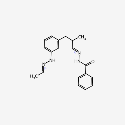 C/C=N/Nc1cccc(CC(C)/C=N/NC(=O)c2ccccc2)c1